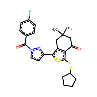 CC1(C)CC(=O)c2c(SC3CCCC3)sc(-c3ccn(C(=O)c4ccc(F)cc4)n3)c2C1